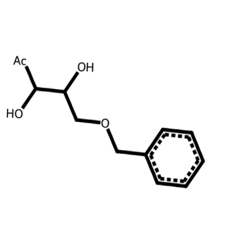 CC(=O)C(O)C(O)COCc1ccccc1